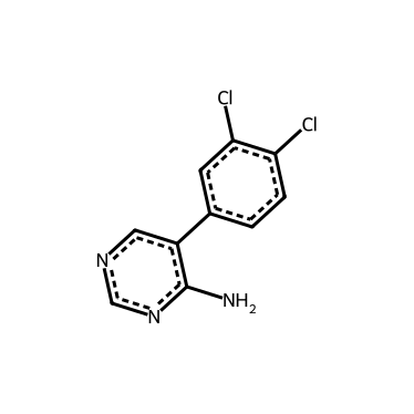 Nc1ncncc1-c1ccc(Cl)c(Cl)c1